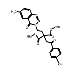 Cc1ccc2nnn(CCC(CC(=O)c3ccc(O)cc3)(C(=O)OC(C)(C)C)C(=O)OC(C)(C)C)c(=O)c2c1